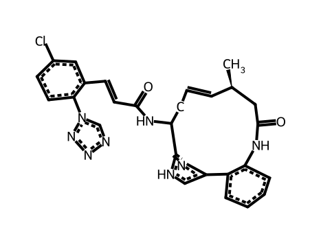 C[C@@H]1/C=C/CC(NC(=O)/C=C/c2cc(Cl)ccc2-n2cnnn2)c2nc(c[nH]2)-c2ccccc2NC(=O)C1